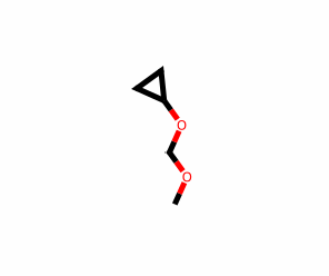 CO[CH]OC1CC1